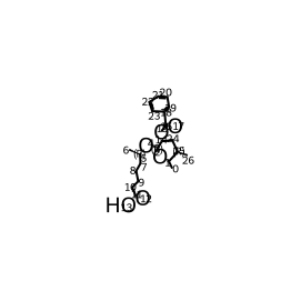 CC1O[C@@H](O[C@H](C)CCCCC(=O)O)C(OC(=O)c2ccccc2)C[C@H]1C